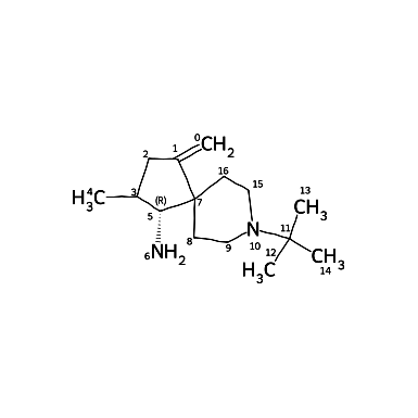 C=C1CC(C)[C@@H](N)C12CCN(C(C)(C)C)CC2